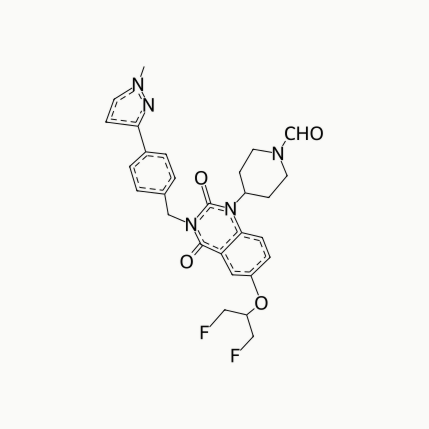 Cn1ccc(-c2ccc(Cn3c(=O)c4cc(OC(CF)CF)ccc4n(C4CCN(C=O)CC4)c3=O)cc2)n1